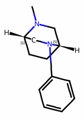 CN1C[C@@H]2CC[C@H]1CN2c1ccccc1